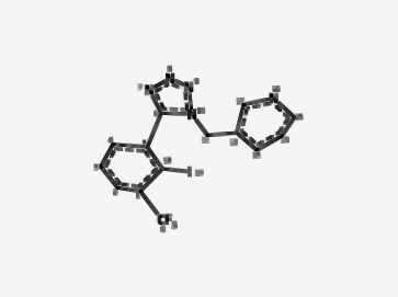 FC(F)(F)c1cccc(-c2nnnn2Cc2cccnc2)c1I